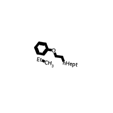 CCC.CCCCCCCCCOc1ccccc1